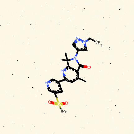 Cc1cc(-c2cncc(S(=O)(=O)C(C)C)c2)nc2c1C(=O)N(c1cnn(CC(F)(F)F)c1)C2(C)C